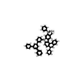 c1ccc(-c2cc(-c3ccccc3)cc(-c3cccc(-n4c5cc6c(cc5c5c7c(ccc54)c(-c4ccccc4)cc4ccccc47)CNN6c4ccccc4)c3)c2)cc1